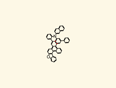 c1ccc(-c2cccc(N(c3ccc4ccccc4c3)c3ccccc3-c3ccc4c5ccccc5c5c(ccc6oc7ccccc7c65)c4c3)c2)cc1